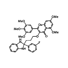 COc1cc(OC)c2c(=O)c(OCCCC3(c4cccc(F)c4)Nc4ccccc4N3)c(-c3cc(OC)c(OC)c(OC)c3)oc2c1